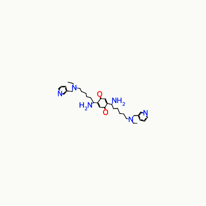 CCN(CCCCCC(N)C1=CC(=O)C(C(N)CCCCCN(CC)Cc2cccnc2)=CC1=O)Cc1cccnc1